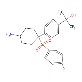 NC1CCC(c2ccc(C(O)(C(F)(F)F)C(F)(F)F)cc2)(S(=O)(=O)c2ccc(F)cc2)CC1